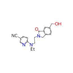 CCN(CCN1Cc2ccc(CO)cc2C1=O)c1ccc(C#N)cn1